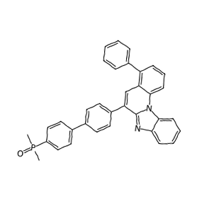 CP(C)(=O)c1ccc(-c2ccc(-c3cc4c(-c5ccccc5)cccc4n4c3nc3ccccc34)cc2)cc1